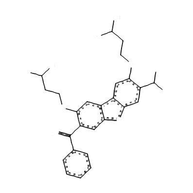 C=C(c1ccccc1)c1cc2sc3cc(C(C)C)c(OCCC(C)C)cc3c2cc1OCCC(C)C